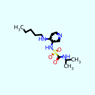 CCCCCNc1ccncc1NS(=O)(=O)C(=O)NC(C)C